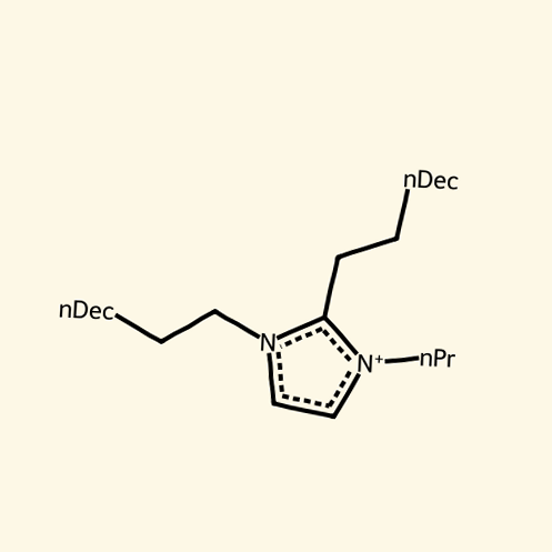 CCCCCCCCCCCCc1n(CCCCCCCCCCCC)cc[n+]1CCC